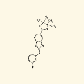 CC1(C)OB(c2ccc3cn(Cc4cccc(F)c4)nc3c2)OC1(C)C